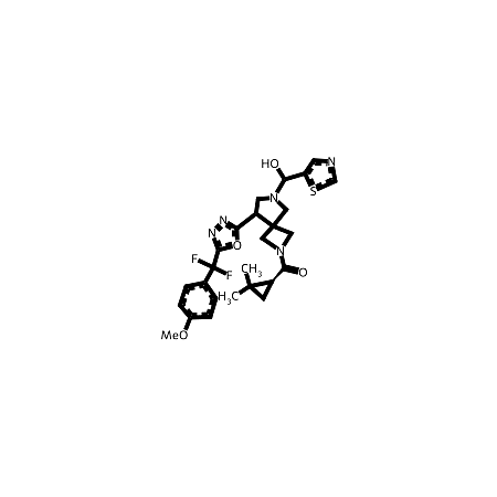 COc1ccc(C(F)(F)c2nnc(C3CN(C(O)c4cncs4)CC34CN(C(=O)[C@H]3CC3(C)C)C4)o2)cc1